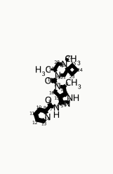 CC1c2[nH]nc(NC(=O)c3ccccn3)c2CN1C(=O)N1CC2(CCC2)N(C)C[C@@H]1C